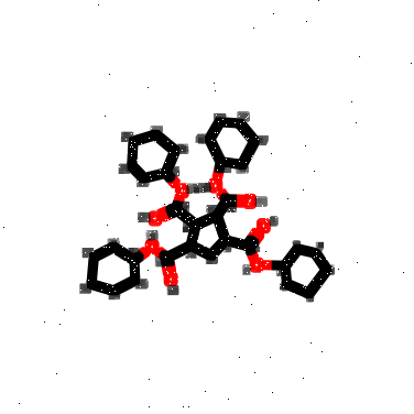 O=C(OC1CCCCC1)C1CC(C(=O)OC2CCCCC2)C(C(=O)OC2CCCCC2)C1C(=O)OC1CCCCC1